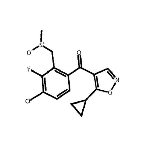 C[S+]([O-])Cc1c(C(=O)c2cnoc2C2CC2)ccc(Cl)c1F